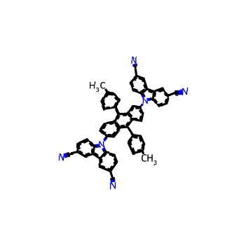 Cc1ccc(-c2c3ccc(-n4c5ccc(C#N)cc5c5cc(C#N)ccc54)cc3c(-c3ccc(C)cc3)c3ccc(-n4c5ccc(C#N)cc5c5cc(C#N)ccc54)cc23)cc1